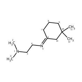 CN(C)CC/N=C1\CCCC(C)(C)C1